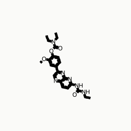 CCNC(=O)Nc1ccc2ncc(-c3ccc(OC(=O)N(CC)CC)c(OC)c3)nc2n1